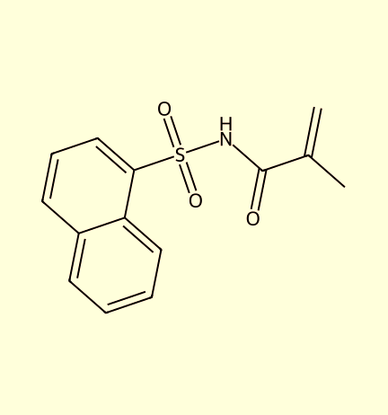 C=C(C)C(=O)NS(=O)(=O)c1cccc2ccccc12